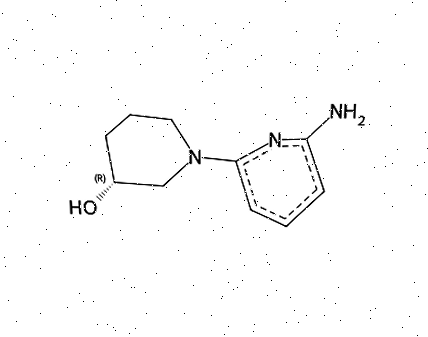 Nc1cccc(N2CCC[C@@H](O)C2)n1